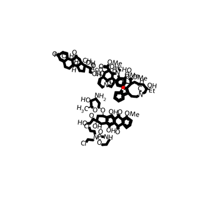 CC[C@]1(O)C[C@@H]2CN(CCc3c([nH]c4ccccc34)[C@@](C(=O)OC)(c3ccc4c(c3OC)N(C=O)[C@H]3[C@@](O)(C(=O)OC)[C@H](OC(C)=O)[C@]5(CC)C=CCN6CC[C@]43[C@@H]65)C2)C1.COc1cccc2c1C(=O)c1c(O)c3c(c(O)c1C2=O)C[C@@](O)(C(=O)CO)C[C@@H]3O[C@H]1C[C@H](N)[C@H](O)[C@H](C)O1.C[C@]12C=CC(=O)C=C1CC[C@@H]1[C@@H]2C(=O)C[C@@]2(C)[C@H]1CC[C@]2(O)C(=O)CO.O=P1(N(CCCl)CCCl)NCCCO1